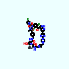 Cc1ncsc1-c1ccc(CNC(=O)[C@@H]2C[C@@H](O)CN2C(=O)[C@@H](NC(=O)CN2CC(CN3CCN(c4ncc(-c5cnc6[nH]cc(C(=O)c7c(F)ccc(NS(=O)(=O)N8CC[C@@H](F)C8)c7F)c6c5)cn4)CC3)C2)C(C)(C)C)cc1